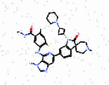 Cc1cc(F)c(Nc2nc(-c3ccc4c(c3)N([C@H]3C[C@H](N5CCCCC5)C3)C(=O)C43CCN(C)CC3)cc3ncn(C(C)C)c23)cc1C(=O)NC(C)C